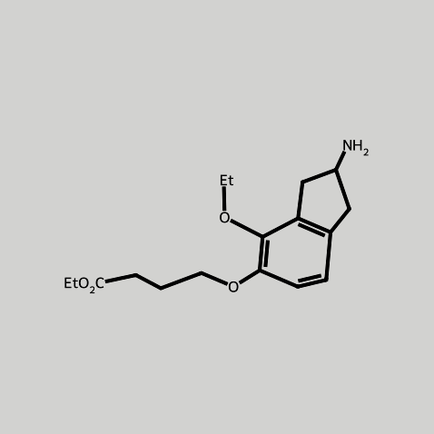 CCOC(=O)CCCOc1ccc2c(c1OCC)CC(N)C2